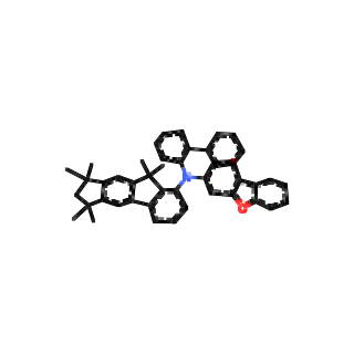 CC1(C)CC(C)(C)c2cc3c(cc21)-c1cccc(N(c2ccc4c(c2)oc2ccccc24)c2ccccc2-c2ccccc2)c1C3(C)C